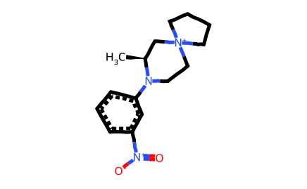 C[C@H]1C[N+]2(CCCC2)CCN1c1cccc([N+](=O)[O-])c1